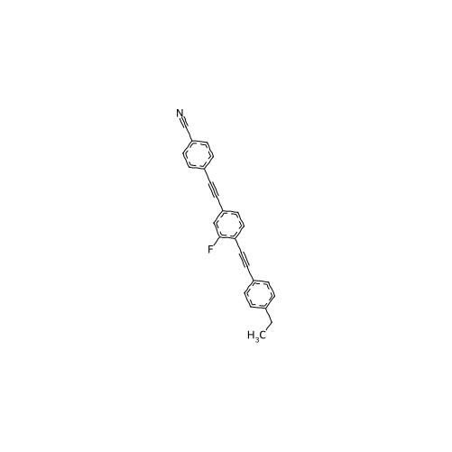 CCc1ccc(C#Cc2ccc(C#Cc3ccc(C#N)cc3)cc2F)cc1